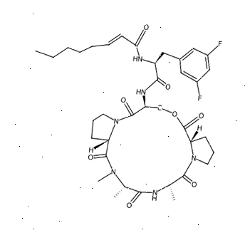 CCCCC/C=C/C(=O)N[C@@H](Cc1cc(F)cc(F)c1)C(=O)N[C@H]1COC(=O)[C@@H]2CCCN2C(=O)[C@H](C)NC(=O)[C@H](C)N(C)C(=O)[C@@H]2CCCN2C1=O